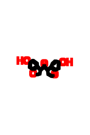 O=C(C1CCOc2cc(O)ccc21)C1CCOc2cc(O)ccc21